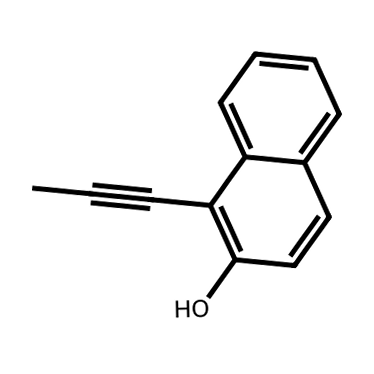 CC#Cc1c(O)ccc2ccccc12